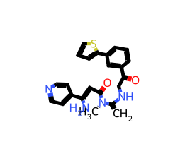 C=C(NCC(=O)c1cccc(-c2cccs2)c1)N(C)C(=O)/C=C(\N)c1ccncc1